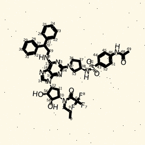 CCCN(C(=O)C(F)(F)F)[C@H]1C[C@@H](n2cnc3c(NCC(c4ccccc4)c4ccccc4)nc(N4CC[C@@H](NS(=O)(=O)c5ccc(NC(C)=O)cc5)C4)nc32)[C@H](O)[C@@H]1O